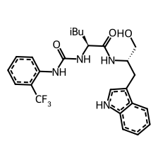 CCC(C)[C@H](NC(=O)Nc1ccccc1C(F)(F)F)C(=O)N[C@H](CO)Cc1c[nH]c2ccccc12